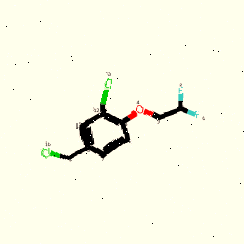 FC(F)COc1ccc(CCl)cc1Cl